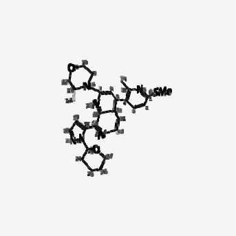 CSc1ccc(-c2cc(N3CCOC[C@H]3C)nc3c(-c4ccnn4C4CCCCO4)nccc23)c(C)n1